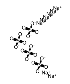 O=S(=O)([O-])[O-].O=S(=O)([O-])[O-].O=S(=O)([O-])[O-].O=S(=O)([O-])[O-].[Na+].[Na+].[Na+].[Na+].[Na+].[Na+].[Na+].[Na+]